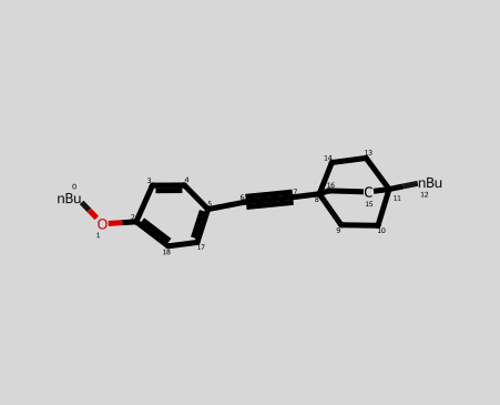 CCCCOc1ccc(C#CC23CCC(CCCC)(CC2)CC3)cc1